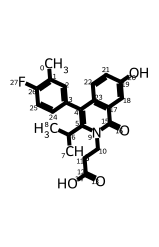 Cc1cc(-c2c(C(C)C)n(CCC(=O)O)c(=O)c3cc(O)ccc23)ccc1F